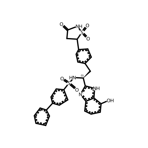 O=C1CC(c2ccc(C[C@H](NS(=O)(=O)c3ccc(-c4ccccc4)cc3)c3nc4cccc(O)c4[nH]3)cc2)S(=O)(=O)N1